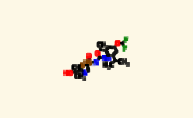 CCc1cc(OC(F)F)cc(C(C)C)c1NC(=O)/N=[SH](=O)/c1cnc(C(C)(C)O)s1